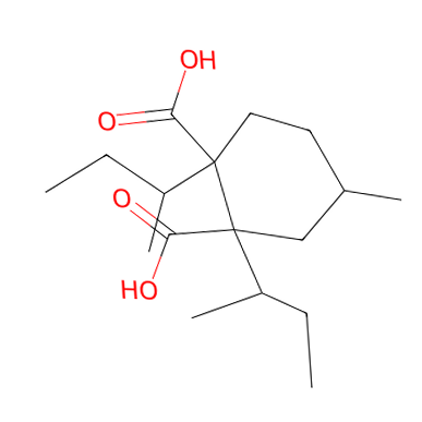 CCC(C)C1(C(=O)O)CCC(C)CC1(C(=O)O)C(C)CC